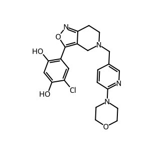 Oc1cc(O)c(-c2onc3c2CN(Cc2ccc(N4CCOCC4)nc2)CC3)cc1Cl